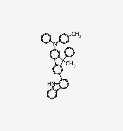 Cc1ccc(N(c2ccccc2)c2ccc3c(c2)C(C)(c2ccccc2)c2cc(-c4cccc5c4[nH]c4ccccc45)ccc2-3)cc1